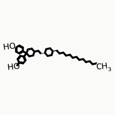 CCCCCCCCCCCCCC[C@H]1CC[C@H](CCC2CCC(c3ccc(O)cc3)(c3ccc(O)cc3)CC2)CC1